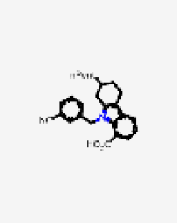 CCCCCC1CCc2c(n(Cc3cccc(C#N)c3)c3c(C(=O)O)cccc23)C1